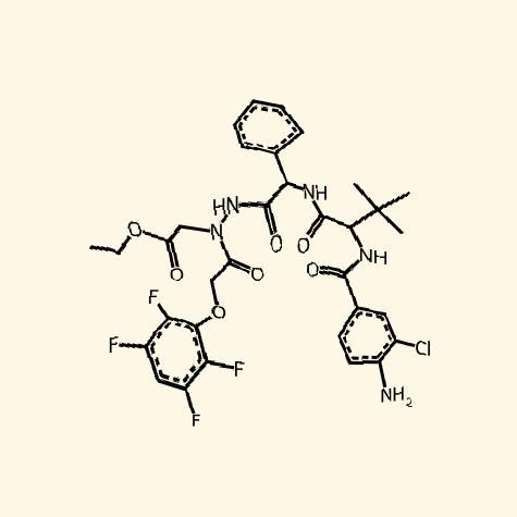 CCOC(=O)CN(NC(=O)C(NC(=O)C(NC(=O)c1ccc(N)c(Cl)c1)C(C)(C)C)c1ccccc1)C(=O)COc1c(F)c(F)cc(F)c1F